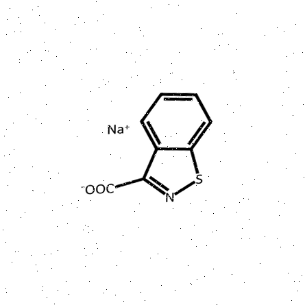 O=C([O-])c1nsc2ccccc12.[Na+]